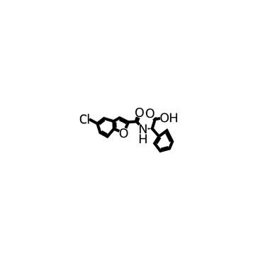 O=C(N[C@H](C(=O)O)c1ccccc1)c1cc2cc(Cl)ccc2o1